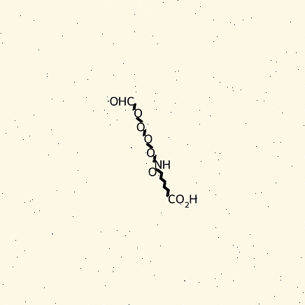 O=[C]CCOCCOCCOCCOCCNC(=O)CCCCCCC(=O)O